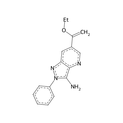 C=C(OCC)c1cnc2c(N)n(-c3ccccc3)nc2c1